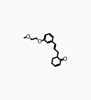 COCCOc1cccc(C=CCC2CCC=CC2=O)c1